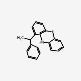 CC(c1ccccc1)c1cccc2c1Nc1ccccc1S2